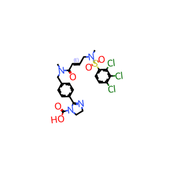 CN(Cc1ccc(C2=NCCN2C(=O)O)cc1)C(=O)/C=C/CN(C)S(=O)(=O)c1ccc(Cl)c(Cl)c1Cl